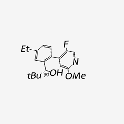 CCc1ccc(-c2cc(OC)ncc2F)c([C@H](O)C(C)(C)C)c1